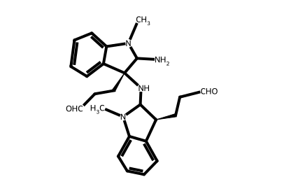 CN1c2ccccc2[C@H](CCC=O)C1N[C@]1(CCC=O)c2ccccc2N(C)C1N